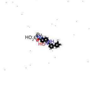 CCC(C)C(NC(=O)c1cc(O)c2c(ccc3[nH]c(-c4cccc(-c5ccc(C)c(C)c5)c4)nc32)c1)C(=O)O